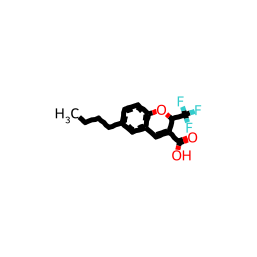 CCCCc1ccc2c(c1)C=C(C(=O)O)C(C(F)(F)F)O2